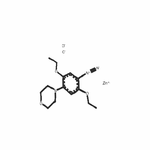 CCOc1cc(N2CCOCC2)c(OCC)cc1[N+]#N.[Cl-].[Cl-].[Zn+]